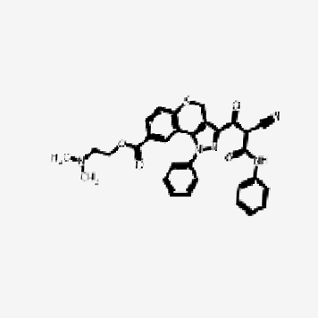 CN(C)CCOC(=O)c1ccc2c(c1)-c1c(c(C(=O)C(C#N)C(=O)Nc3ccccc3)nn1-c1ccccc1)CS2